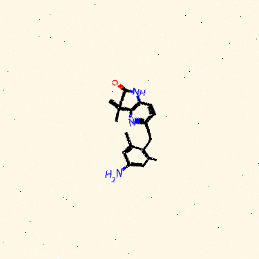 Cc1cc(N)cc(C)c1Cc1ccc2c(n1)C(C)(C)C(=O)N2